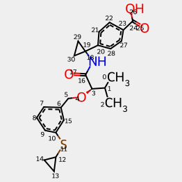 CC(C)[C@@H](OCc1cccc(SC2CC2)c1)C(=O)NC1(c2ccc(C(=O)O)cc2)CC1